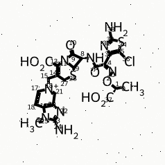 C[C@H](O/N=C(\C(=O)N[C@@H]1C(=O)N2C(C(=O)O)=C(C[n+]3ccc4c(c3)nc(N)n4C)CSC12)c1nc(N)sc1Cl)C(=O)O